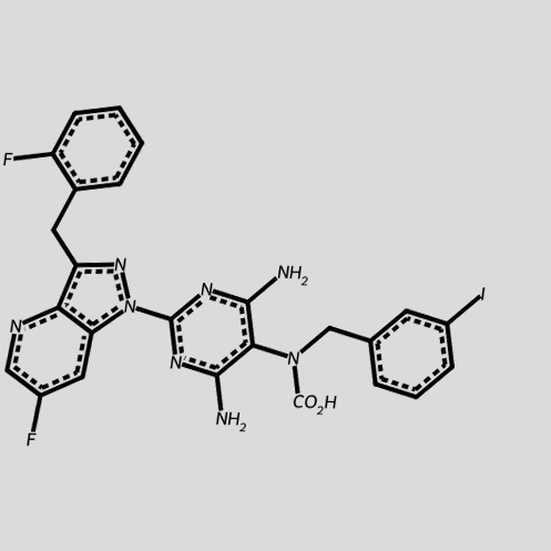 Nc1nc(-n2nc(Cc3ccccc3F)c3ncc(F)cc32)nc(N)c1N(Cc1cccc(I)c1)C(=O)O